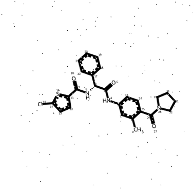 Cc1cc(NC(=O)[C@H](NC(=O)c2ccc(Cl)s2)c2ccccc2)ccc1C(=O)N1CCCC1